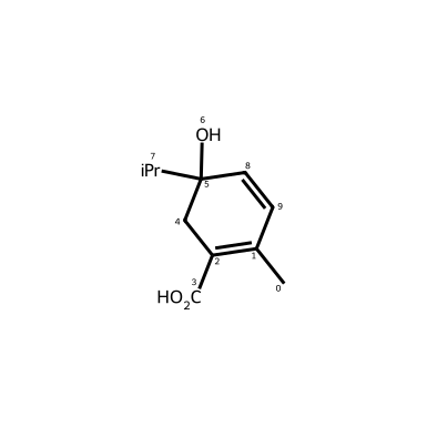 CC1=C(C(=O)O)CC(O)(C(C)C)C=C1